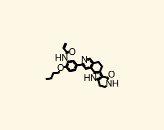 C=CC(=O)Nc1cc(-c2cc3c(cn2)CCc2c-3[nH]c3c2C(=O)NCC3)ccc1OCCCC